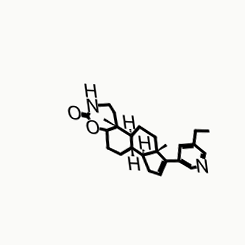 CCc1cncc(C2=CC[C@H]3[C@@H]4CCC5OC(=O)NCC[C@]5(C)[C@H]4CC[C@]23C)c1